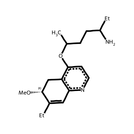 CCC1=Cc2nccc(OC(C)CCC(N)CC)c2C[C@H]1OC